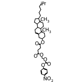 CC(C)CCCCC1CCC2C3CC=C4CC(OC(=O)CCC(=O)OCOC(=O)Oc5ccc([N+](=O)[O-])cc5)CCC4(C)C3CCC12C